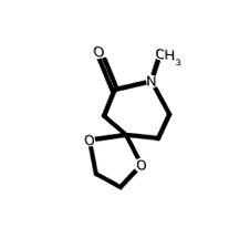 CN1CCC2(CC1=O)OCCO2